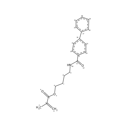 C=C(C)C(=O)OCCCCNC(=O)c1ccc(-c2ccccc2)cc1